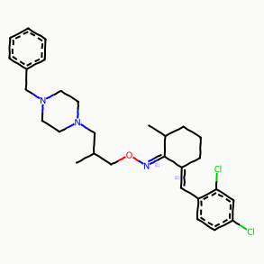 CC(CO/N=C1/C(=C/c2ccc(Cl)cc2Cl)CCCC1C)CN1CCN(Cc2ccccc2)CC1